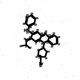 CC(C)/N=c1\cc2n(C3CC=C(Br)CC3)c3ccccc3nc-2cc1Nc1cccnc1